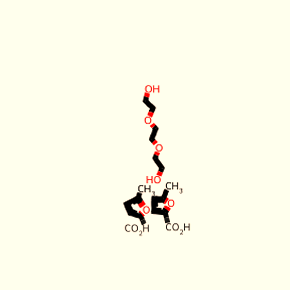 Cc1ccc(C(=O)O)o1.Cc1ccc(C(=O)O)o1.OCCOCCOCCO